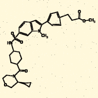 COC(=O)CCc1ccc(-c2cc3ccc(S(=O)(=O)NC4CCC(C(=O)N5CCOC[C@@H]5C5CC5)CC4)cc3n2C)cc1